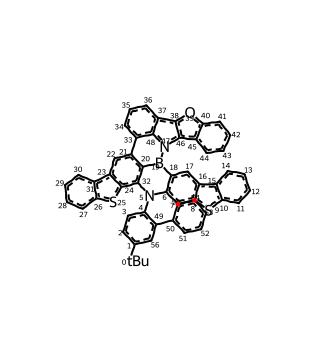 CC(C)(C)c1ccc(N2c3cc4sc5ccccc5c4cc3B3c4c(cc5c(sc6ccccc65)c42)-c2cccc4c5oc6ccccc6c5n3c24)c(-c2ccccc2)c1